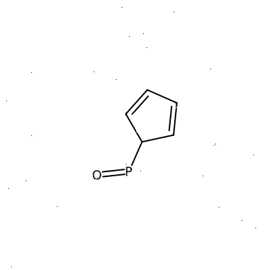 O=PC1C=CC=C1